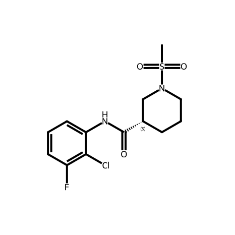 CS(=O)(=O)N1CCC[C@H](C(=O)Nc2cccc(F)c2Cl)C1